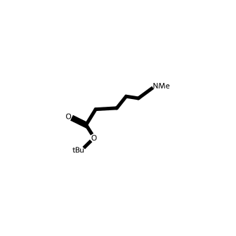 CNCCCCC(=O)OC(C)(C)C